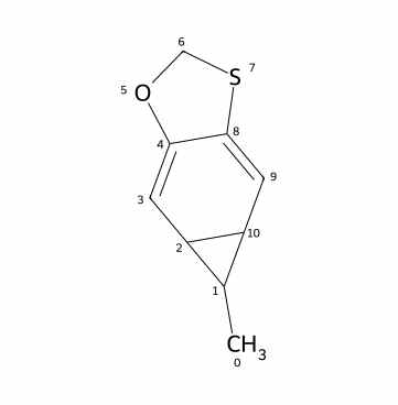 CC1C2C=C3OCSC3=CC12